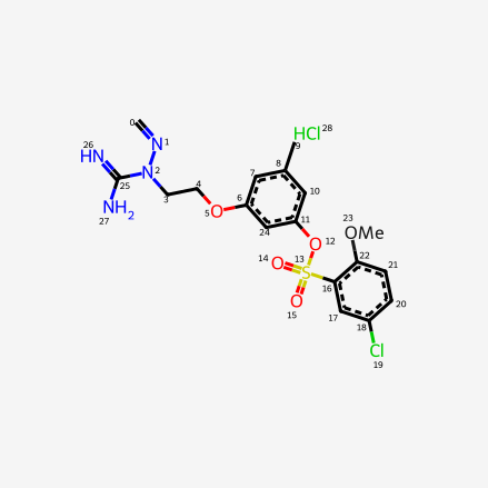 C=NN(CCOc1cc(C)cc(OS(=O)(=O)c2cc(Cl)ccc2OC)c1)C(=N)N.Cl